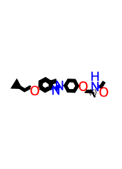 CC(=O)N[C@@H](C)CO[C@H]1CC[C@H](n2cc3ccc(OCCC4CC4)cc3n2)CC1